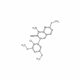 COc1cc(OC)c(Cl)c(-c2cc3cnc(SC)nc3n(N)c2=N)c1